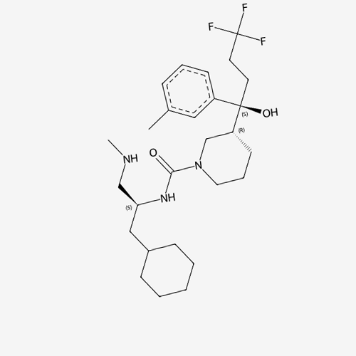 CNC[C@H](CC1CCCCC1)NC(=O)N1CCC[C@@H]([C@@](O)(CCC(F)(F)F)c2cccc(C)c2)C1